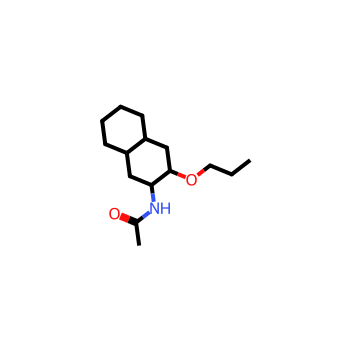 CCCOC1CC2CCCCC2CC1NC(C)=O